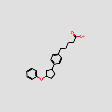 O=C(O)CCCCc1ccc(C2CC[C@@H](Oc3ccccc3)C2)cc1